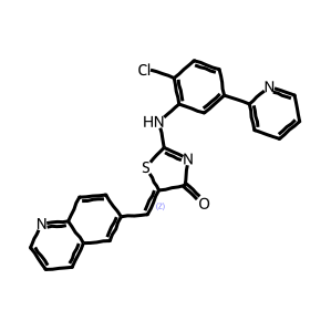 O=C1N=C(Nc2cc(-c3ccccn3)ccc2Cl)S/C1=C\c1ccc2ncccc2c1